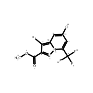 COC(=O)c1nn2c(C(F)(F)F)cc(Cl)cc2c1I